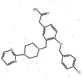 O=NC(=O)Cc1ccc(OCc2ccc(Cl)cc2)c(CN2CCN(c3ncccn3)CC2)c1